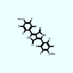 COc1c(F)c(F)c(C2=C3C(=O)NC(c4c(F)c(F)c(OC)c(F)c4F)=C3C(=O)N2)c(F)c1F